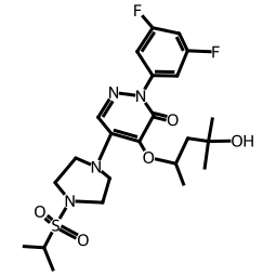 CC(CC(C)(C)O)Oc1c(N2CCN(S(=O)(=O)C(C)C)CC2)cnn(-c2cc(F)cc(F)c2)c1=O